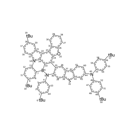 CC(C)(C)c1ccc(N2B3c4cc(C(C)(C)C)ccc4-n4c5ccc(C(C)(C)C)cc5c5c6c(oc7ccccc76)c(c3c54)-c3cc4c(cc32)sc2cc(N(c3ccc(C(C)(C)C)cc3)c3ccc(C(C)(C)C)cc3)ccc24)cc1